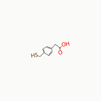 O=C(O)Cc1ccc(CS)cc1